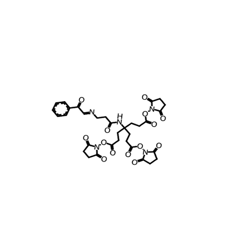 O=C(CCN=CC(=O)c1ccccc1)NC(CCC(=O)ON1C(=O)CCC1=O)(CCC(=O)ON1C(=O)CCC1=O)CCC(=O)ON1C(=O)CCC1=O